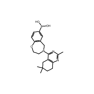 Cc1nc2c(c(N3CCOc4ccc(B(O)O)cc4C3)n1)CC(C)(C)CC2